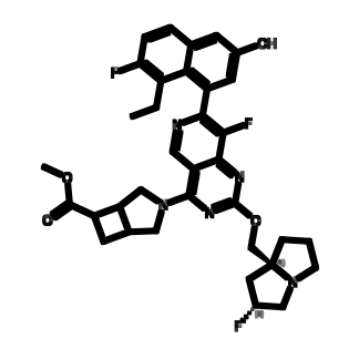 CCc1c(F)ccc2cc(O)cc(-c3ncc4c(N5CC6CC(C(=O)OC)C6C5)nc(OC[C@@]56CCCN5C[C@H](F)C6)nc4c3F)c12